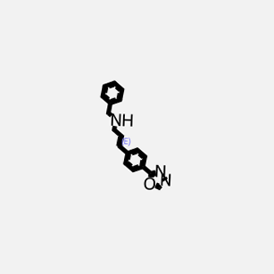 C(=C\c1ccc(-c2nnco2)cc1)/CNCc1ccccc1